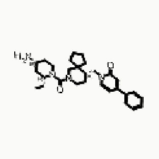 CC[C@@H]1C[C@H](N)CCN1C(=O)N1CC[C@@H](Cn2ccc(-c3ccccc3)cc2=O)C2(CCCC2)C1